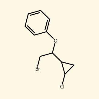 ClC1CC1C(CBr)Oc1ccccc1